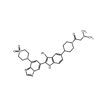 CC(C)c1c(-c2cc(N3CCS(=O)(=O)CC3)c3ncnn3c2)[nH]c2ccc(C3CCN(C(=O)CN(C)C)CC3)cc12